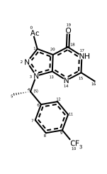 CC(=O)c1nn([C@@H](C)c2ccc(C(F)(F)F)cc2)c2nc(C)[nH]c(=O)c12